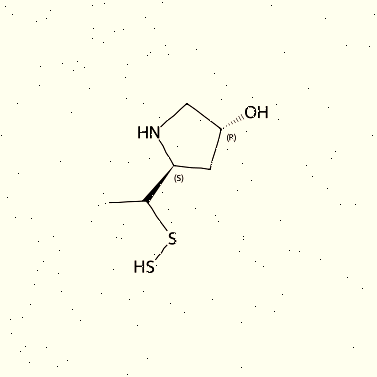 CC(SS)[C@@H]1C[C@@H](O)CN1